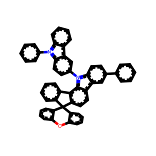 c1ccc(-c2ccc3c(c2)c2ccc4c(c2n3-c2ccc3c(c2)c2ccccc2n3-c2ccccc2)-c2ccccc2C42c3ccccc3Oc3ccccc32)cc1